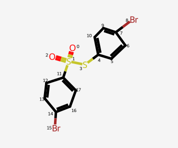 O=S(=O)(Sc1ccc(Br)cc1)c1ccc(Br)cc1